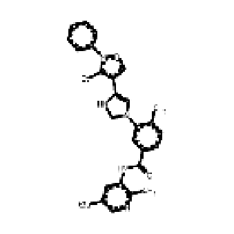 CCc1c(C2=CN(c3cc(C(=O)Nc4cc(C(C)(C)C)cnc4C)ccc3C)CN2)cnn1-c1ccccc1